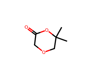 CC1(C)COCC(=O)O1